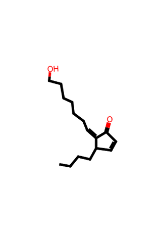 CCCCC1C=CC(=O)C1=CCCCCCCO